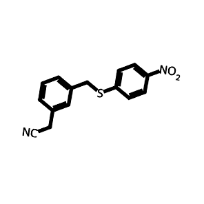 N#CCc1cccc(CSc2ccc([N+](=O)[O-])cc2)c1